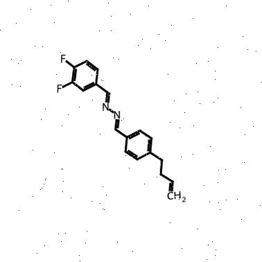 C=CCCc1ccc(C=NN=Cc2ccc(F)c(F)c2)cc1